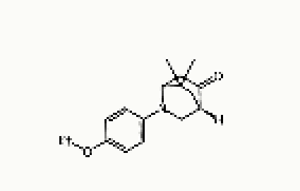 CCOc1ccc(N2C[C@@H]3CC(C)(C)C2CC3=O)cc1